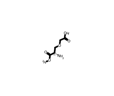 [2H]OC(=O)[C@@H](N)COCC(=O)O